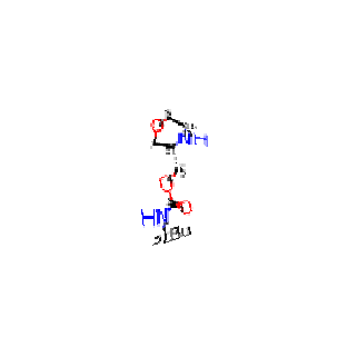 CC(C)(C)NC(=O)OC[C@@H]1COCCN1